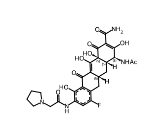 CC(=O)N[C@@H]1C(O)=C(C(N)=O)C(=O)[C@@]2(O)C(O)=C3C(=O)c4c(O)c(NC(=O)CN5CCCC5)cc(F)c4C[C@H]3C[C@@H]12